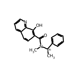 C[C@H](c1ccccc1)N(C)C(=O)c1ccc2cccnc2c1O